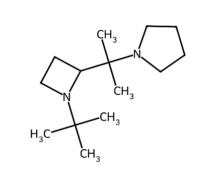 CC(C)(C)N1CCC1C(C)(C)N1CCCC1